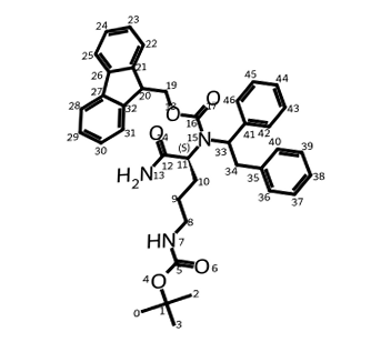 CC(C)(C)OC(=O)NCCC[C@@H](C(N)=O)N(C(=O)OCC1c2ccccc2-c2ccccc21)C(Cc1ccccc1)c1ccccc1